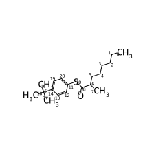 CCCCCCC(C)C(=O)Sc1ccc(C(C)(C)C)cc1